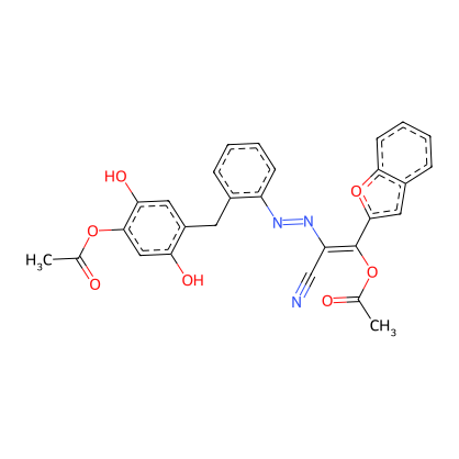 CC(=O)OC(=C(C#N)N=Nc1ccccc1Cc1cc(O)c(OC(C)=O)cc1O)c1cc2ccccc2o1